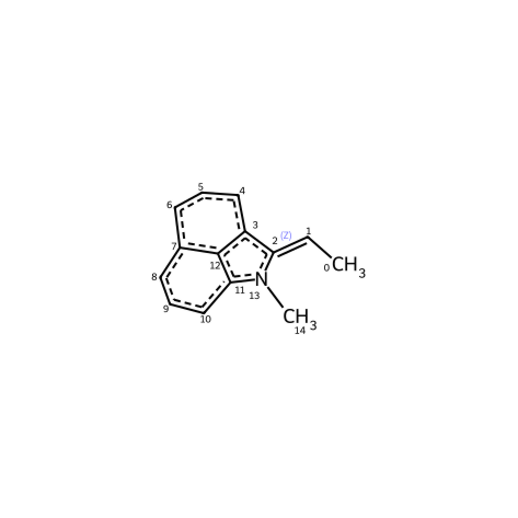 C/C=c1/c2cccc3cccc(c32)n1C